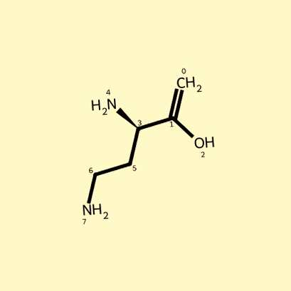 C=C(O)[C@H](N)CCN